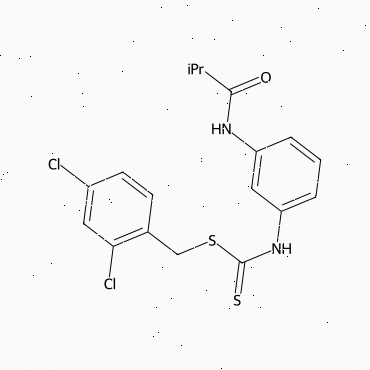 CC(C)C(=O)Nc1cccc(NC(=S)SCc2ccc(Cl)cc2Cl)c1